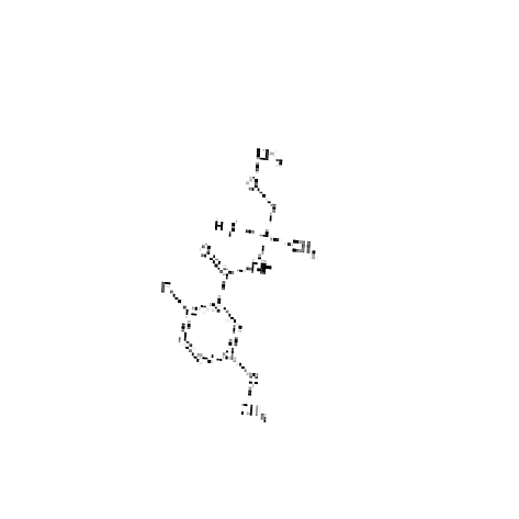 COCC(C)(C)NC(=O)c1cc(OC)ccc1F